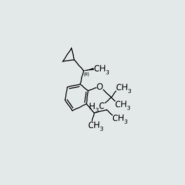 CCC(C)c1cccc([C@H](C)C2CC2)c1OC(C)(C)C